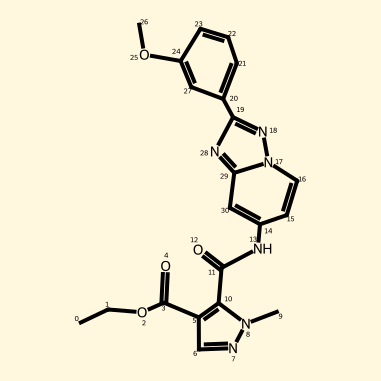 CCOC(=O)c1cnn(C)c1C(=O)Nc1ccn2nc(-c3cccc(OC)c3)nc2c1